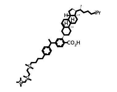 CC(C)CCC[C@@H](C)[C@H]1CC[C@H]2[C@@H]3CC=C4C[C@@H](c5cc(C(C)c6ccc(CCCC[Si](C)(C)CC[Si](C)(C)C[Si](C)(C)C)cc6)ccc5C(=O)O)CC[C@]4(C)[C@H]3CC[C@]12C